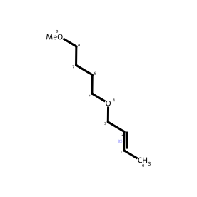 C/C=C/COCCCCOC